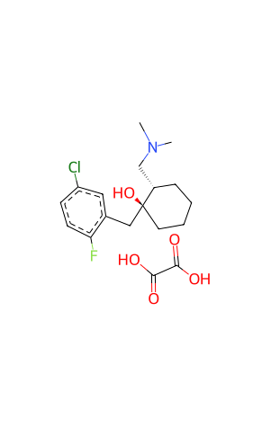 CN(C)C[C@@H]1CCCC[C@]1(O)Cc1cc(Cl)ccc1F.O=C(O)C(=O)O